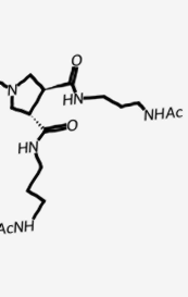 CC(=O)NCCCNC(=O)[C@@H]1CN(C)C[C@H]1C(=O)NCCCNC(C)=O